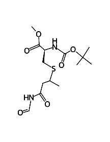 COC(=O)[C@H](CSC(C)CC(=O)NC=O)NC(=O)OC(C)(C)C